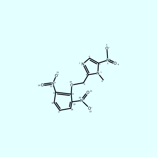 Cn1c([N+](=O)[O-])cnc1COc1c([N+](=O)[O-])cccc1[N+](=O)[O-]